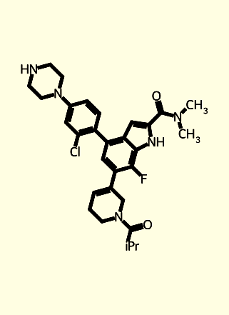 CC(C)C(=O)N1CCC=C(c2cc(-c3ccc(N4CCNCC4)cc3Cl)c3cc(C(=O)N(C)C)[nH]c3c2F)C1